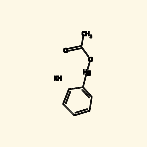 CC(=O)[O][Hg][c]1ccccc1.[KH]